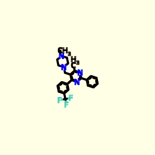 Cc1nc(-c2ccccc2)nc(-c2cccc(C(F)(F)F)c2)c1CN1CCN(C)CC1